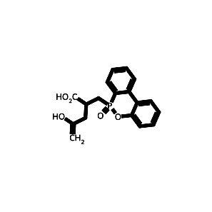 C=C(O)CC(CP1(=O)Oc2ccccc2-c2ccccc21)C(=O)O